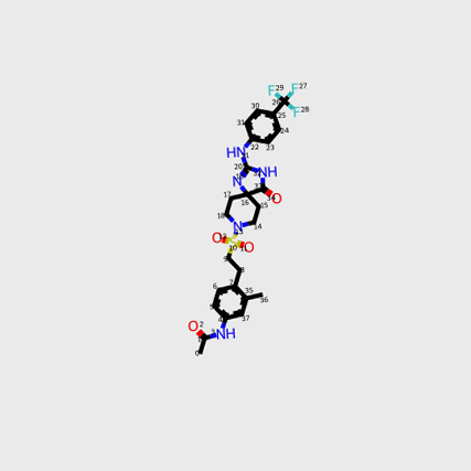 CC(=O)Nc1ccc(CCS(=O)(=O)N2CCC3(CC2)N=C(Nc2ccc(C(F)(F)F)cc2)NC3=O)c(C)c1